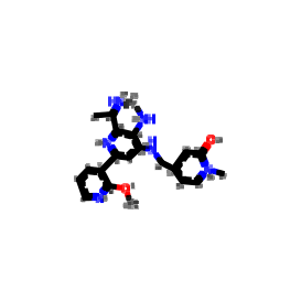 CCOc1ncccc1-c1cc(NCc2ccn(C)c(=O)c2)c(NC(C)C)c(C(C)=N)n1